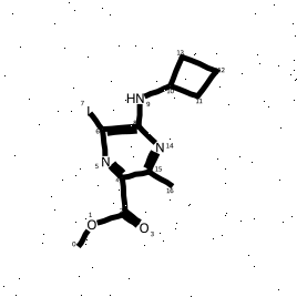 COC(=O)c1nc(I)c(NC2CCC2)nc1C